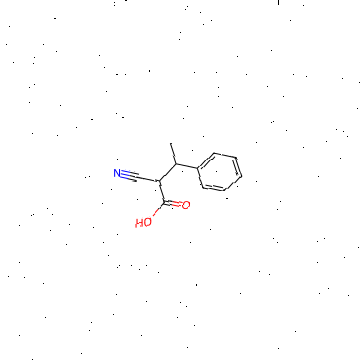 CC(c1ccccc1)C(C#N)C(=O)O